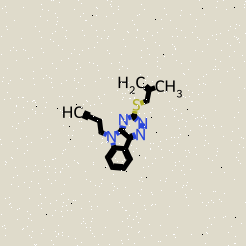 C#CCCn1c2ccccc2c2nnc(SCC(=C)C)nc21